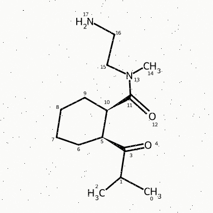 CC(C)C(=O)[C@H]1CCCC[C@H]1C(=O)N(C)CCN